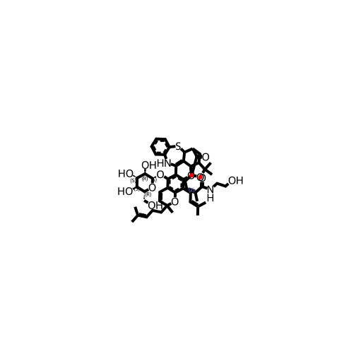 CC(C)=CCCC1(C)C=Cc2c(c(CC=C(C)C)c3c(c2O[C@@H]2O[C@H](CO)[C@@H](O)[C@H](O)[C@H]2O)C2=C4C(Sc5ccccc5N2)C2CC5C(C)(C)OC(C/C=C(/C)C(=O)NCCO)(C2=O)C45O3)O1